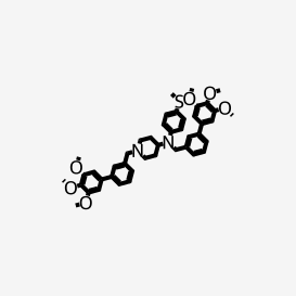 COc1cc(-c2cccc(CN3CCC(N(Cc4cccc(-c5cc(OC)c(OC)c(OC)c5)c4)c4ccc(SC)cc4)CC3)c2)cc(OC)c1OC